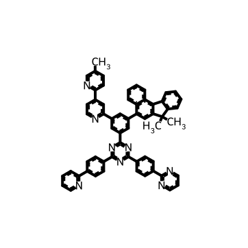 Cc1ccc(-c2ccnc(-c3cc(-c4nc(-c5ccc(-c6ccccn6)cc5)nc(-c5ccc(-c6ncccn6)cc5)n4)cc(-c4cc5c(c6ccccc46)-c4ccccc4C5(C)C)c3)c2)nc1